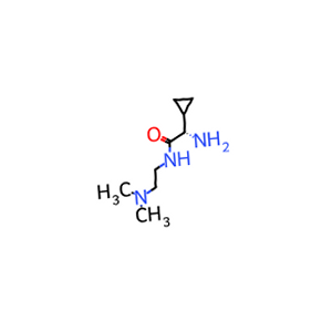 CN(C)CCNC(=O)[C@@H](N)C1CC1